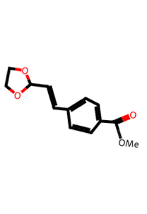 COC(=O)c1ccc(/C=C/C2OCCO2)cc1